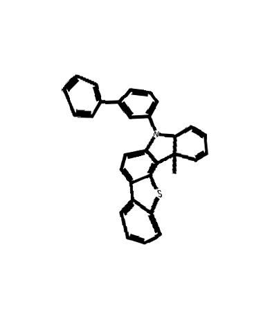 CC12C=CC=CC1N(c1cccc(-c3ccccc3)c1)c1ccc3c(sc4ccccc43)c12